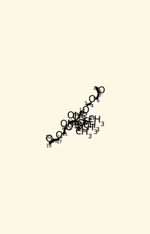 C(COCCOCC1CO1)OCCOCCOCC1CO1.C[Si](C)(C=O)O[Si](C)(C)C=O